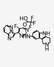 Fc1cnc(Nc2ccc3[nH]c4c(c3c2)CNCC4)nc1-c1cnc2cccnn12.O=C(O)C(F)(F)F